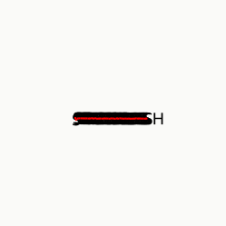 CC(=S)SSSSSSSSSSSSSSSSSSSSSSSSSSSSSSSSSSSSSSSSSSSSSSSSSSSSSSSSSSSSSSSSSSSSSSSSSSSSSSSSSS